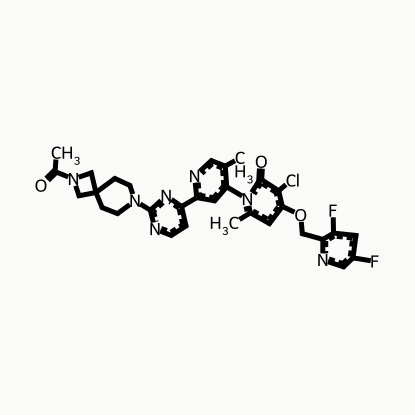 CC(=O)N1CC2(CCN(c3nccc(-c4cc(-n5c(C)cc(OCc6ncc(F)cc6F)c(Cl)c5=O)c(C)cn4)n3)CC2)C1